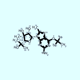 [2H]C([2H])(C)Oc1nc(N)nc2c1nc(C)n2[C@@H]1O[C@H](C(C)(C)O)[C@@](C)(O)[C@@H]1O